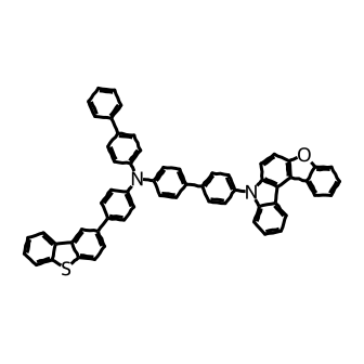 c1ccc(-c2ccc(N(c3ccc(-c4ccc(-n5c6ccccc6c6c7c(ccc65)oc5ccccc57)cc4)cc3)c3ccc(-c4ccc5sc6ccccc6c5c4)cc3)cc2)cc1